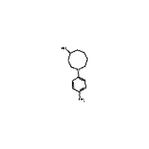 Nc1ccc(N2CCCCC(O)CC2)cc1